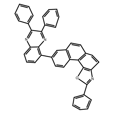 c1ccc(-c2nc3ccc4ccc5cc(-c6cccc7nc(-c8ccccc8)c(-c8ccccc8)nc67)ccc5c4c3o2)cc1